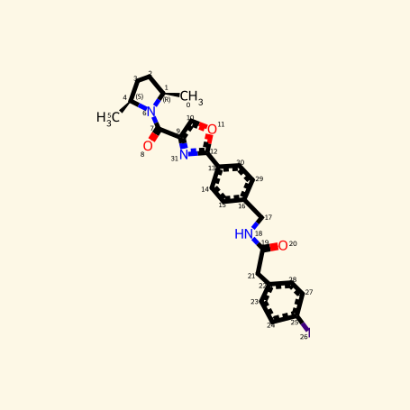 C[C@@H]1CC[C@H](C)N1C(=O)c1coc(-c2ccc(CNC(=O)Cc3ccc(I)cc3)cc2)n1